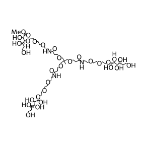 CO[C@H](OCCOCCOCCNC(=O)CCOCC(C)(COCCC(=O)NCCOCCOCCO[C@@H](O)C(O)C(O)[C@H](O)CCO)COCCC(=O)NCCOCCOCCO[C@@H](O)C(O)C(O)[C@H](O)CCO)C(O)C(O)[C@H](O)CCO